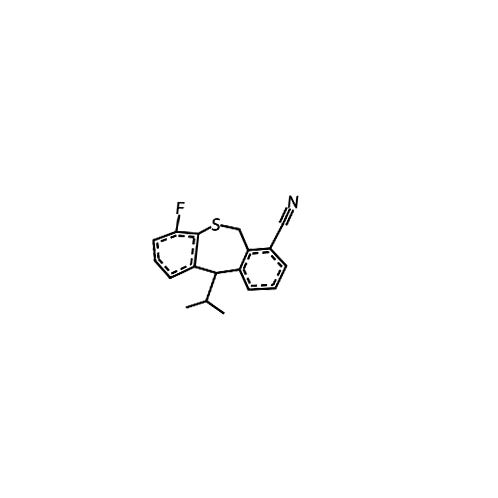 CC(C)C1c2cccc(C#N)c2CSc2c(F)cccc21